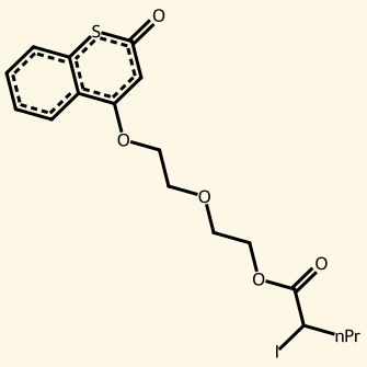 CCCC(I)C(=O)OCCOCCOc1cc(=O)sc2ccccc12